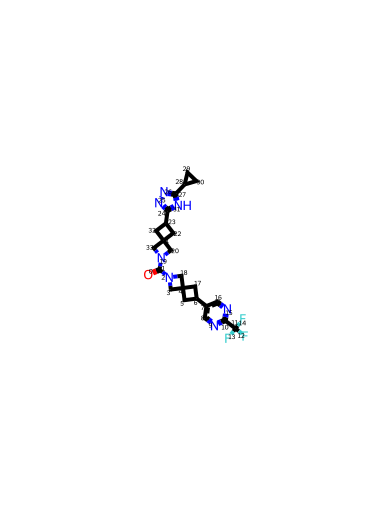 O=C(N1CC2(CC(c3cnc(C(F)(F)F)nc3)C2)C1)N1CC2(CC(c3nnc(C4CC4)[nH]3)C2)C1